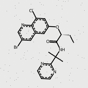 CC[C@@H](Oc1cc(Cl)c2ncc(Br)cc2c1)C(=O)NC(C)(C)c1ncccn1